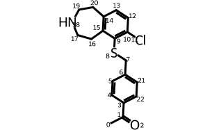 CC(=O)c1ccc(CSc2c(Cl)ccc3c2CCNCC3)cc1